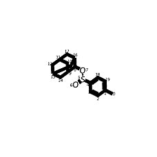 Cc1ccc([S@](=O)OC2C3CC4CC(C3)CC2C4)cc1